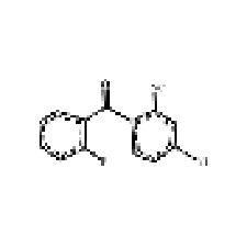 [C-]#[N+]c1cc(Cl)ccc1C(=O)c1ccccc1F